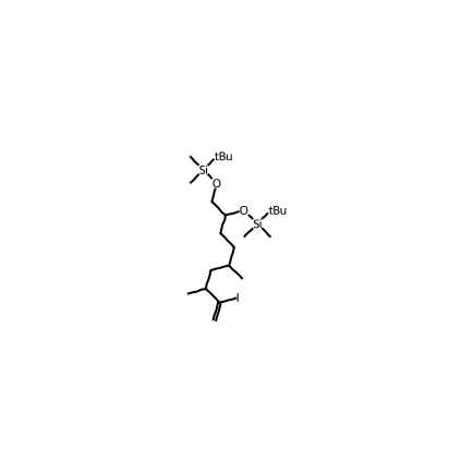 C=C(I)C(C)CC(C)CCC(CO[Si](C)(C)C(C)(C)C)O[Si](C)(C)C(C)(C)C